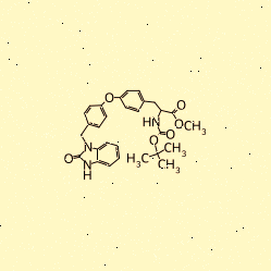 COC(=O)C(Cc1ccc(Oc2ccc(Cn3c(=O)[nH]c4ccccc43)cc2)cc1)NC(=O)OC(C)(C)C